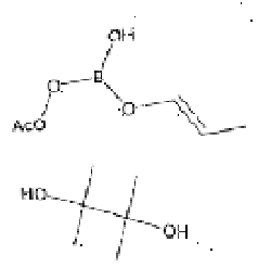 CC(C)(O)C(C)(C)O.CC=COB(O)OOC(C)=O